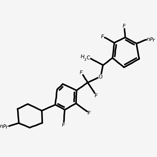 CCCc1ccc(C(C)OC(F)(F)c2ccc(C3CCC(CCC)CC3)c(F)c2F)c(F)c1F